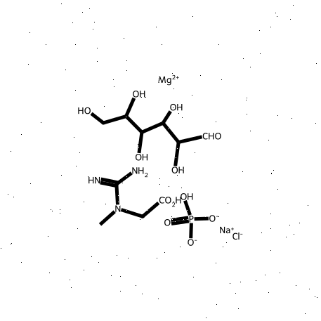 CN(CC(=O)O)C(=N)N.O=CC(O)C(O)C(O)C(O)CO.O=P([O-])([O-])O.[Cl-].[Mg+2].[Na+]